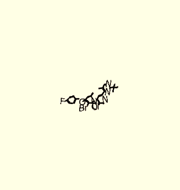 Cc1cnc(C(C)(C)C)nc1-c1cc(-n2c(C)cc(OCc3ccc(F)cc3)c(Br)c2=O)c(Cl)cn1